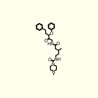 CC(CCNC(=O)N1CCN(C)CC1)CC(=O)NCC(=O)C(CCc1ccccc1)Oc1ccccc1